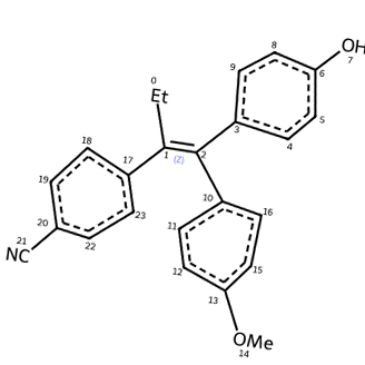 CC/C(=C(\c1ccc(O)cc1)c1ccc(OC)cc1)c1ccc(C#N)cc1